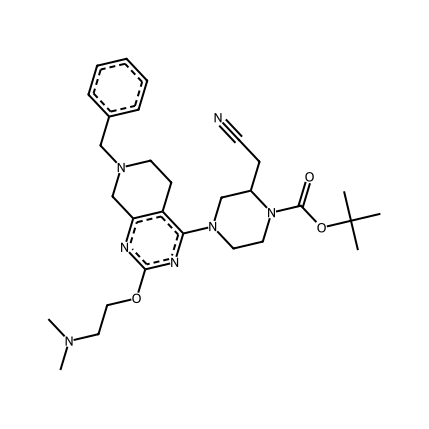 CN(C)CCOc1nc2c(c(N3CCN(C(=O)OC(C)(C)C)C(CC#N)C3)n1)CCN(Cc1ccccc1)C2